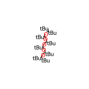 CC(C)(C)CC(COCC(COCC(COCC(COCC(COCC(CC(C)(C)C)C(C)(C)C)C(C)(C)C)C(C)(C)C)C(C)(C)C)C(C)(C)C)C(C)(C)C